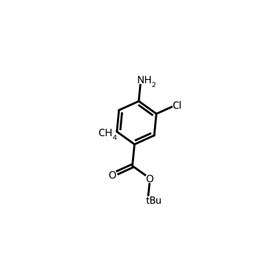 C.CC(C)(C)OC(=O)c1ccc(N)c(Cl)c1